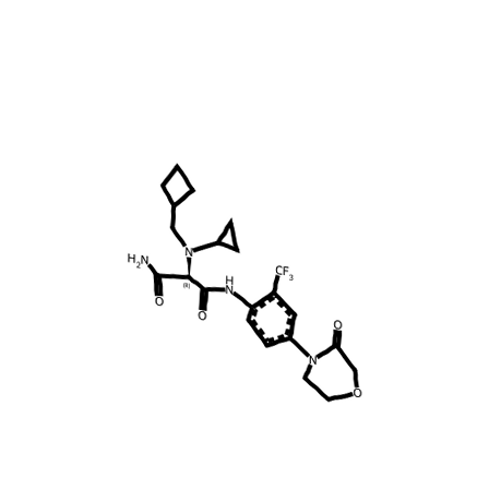 NC(=O)[C@H](C(=O)Nc1ccc(N2CCOCC2=O)cc1C(F)(F)F)N(CC1CCC1)C1CC1